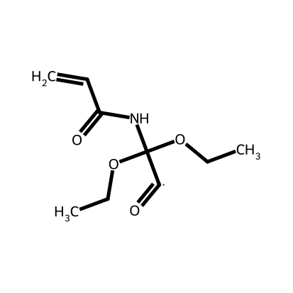 C=CC(=O)NC([C]=O)(OCC)OCC